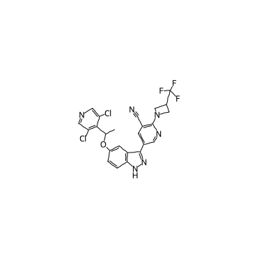 CC(Oc1ccc2[nH]nc(-c3cnc(N4CC(C(F)(F)F)C4)c(C#N)c3)c2c1)c1c(Cl)cncc1Cl